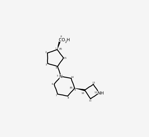 O=C(O)[C@@H]1CCC(N2CCC[C@H](C3CNC3)C2)C1